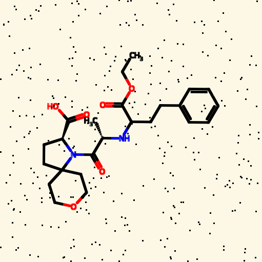 CCOC(=O)C(CCc1ccccc1)N[C@@H](C)C(=O)N1[C@H](C(=O)O)CCC12CCOCC2